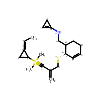 C=C(C#S(C)(C)C1C/C1=C/C)CS[C@H]1C=CCCC1CNC1=CC1